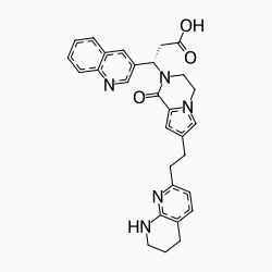 O=C(O)C[C@@H](c1cnc2ccccc2c1)N1CCn2cc(CCc3ccc4c(n3)NCCC4)cc2C1=O